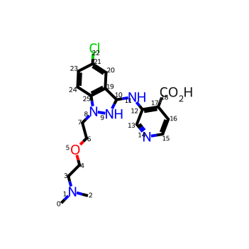 CN(C)CCOCCN1NC(Nc2cnccc2C(=O)O)c2cc(Cl)ccc21